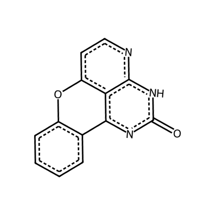 O=c1nc2c3c(ccnc3[nH]1)Oc1ccccc1-2